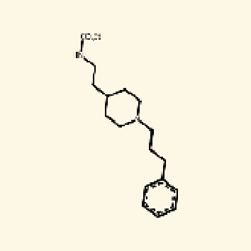 CCOC(=O)NCCC1CCN(C[CH]Cc2ccccc2)CC1